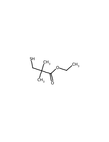 CCOC(=O)C(C)(C)CS